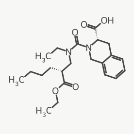 CCCC[C@H](CN(CC)C(=O)N1Cc2ccccc2C[C@H]1C(=O)O)C(=O)OCC